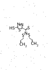 C=CCSN(SCC=C)C(=S)c1nnc(S)s1